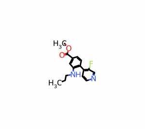 CCCNc1cc(C(=O)OC)ccc1-c1ccncc1F